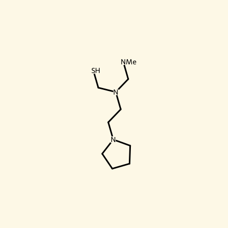 CNCN(CS)CCN1CCCC1